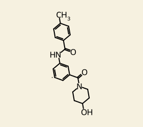 Cc1ccc(C(=O)Nc2c[c]cc(C(=O)N3CCC(O)CC3)c2)cc1